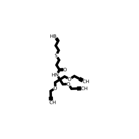 B=CCCSCCC(=O)NC(COCC#C)(COCC#C)COCC#C